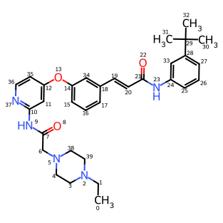 CCN1CCN(CC(=O)Nc2cc(Oc3cccc(C=CC(=O)Nc4cccc(C(C)(C)C)c4)c3)ccn2)CC1